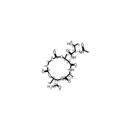 CC(=O)N[C@H](C(=O)N[C@@H]1C(=O)N[C@@H](C)C(=O)N[C@H](C(N)=O)C(C)OC(=O)CCCC(=O)OC1C)C(C)O